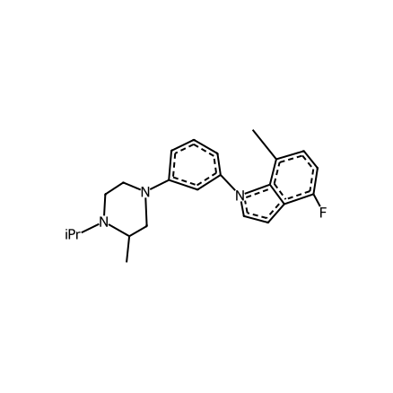 Cc1ccc(F)c2ccn(-c3cccc(N4CCN(C(C)C)C(C)C4)c3)c12